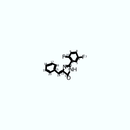 O=C1NC(c2cc(F)ccc2F)=NC1=Cc1ccccc1